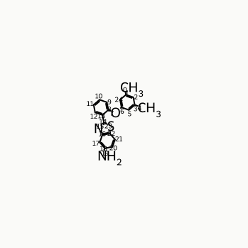 Cc1cc(C)cc(Oc2ccccc2-c2nc3cc(N)ccc3s2)c1